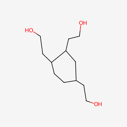 OCCC1CCC(CCO)C(CCO)C1